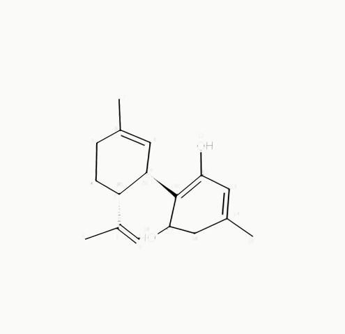 C=C(C)[C@@H]1CCC(C)=C[C@H]1C1=C(O)C=C(C)CC1O